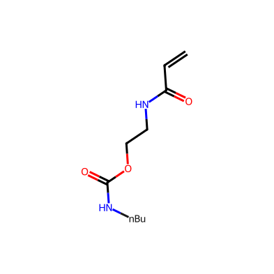 C=CC(=O)NCCOC(=O)NCCCC